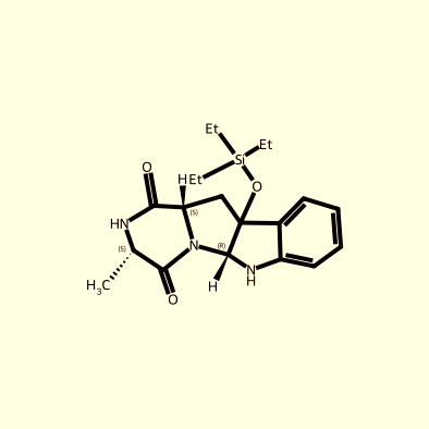 CC[Si](CC)(CC)OC12C[C@H]3C(=O)N[C@@H](C)C(=O)N3[C@H]1Nc1ccccc12